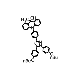 CCCCOc1ccc(-c2nc(-c3ccc(N4c5ccccc5C(C)(C)c5ccccc54)cc3)nn2-c2ccc(OCCCC)cc2)cc1